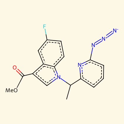 COC(=O)c1cn(C(C)c2cccc(N=[N+]=[N-])n2)c2ccc(F)cc12